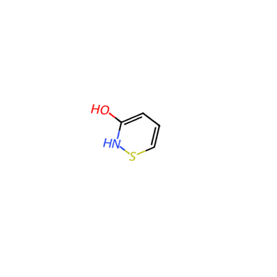 OC1=CC=CSN1